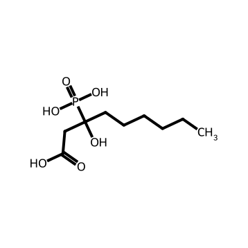 CCCCCCC(O)(CC(=O)O)P(=O)(O)O